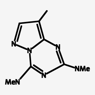 CNc1nc(NC)n2ncc(C)c2n1